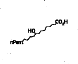 CCCCC/C=C/C=C/[C@@H](O)CCCCCCCC(=O)O